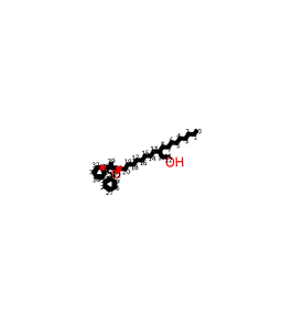 CCCCCCCCCC(CCO)CCCCCCCCCO[Si](c1ccccc1)(c1ccccc1)C(C)(C)C